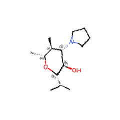 CC(C)[C@@H]1O[C@H](C)[C@@H](C)[C@H](N2CCCC2)[C@H]1O